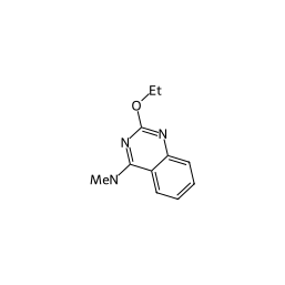 CCOc1nc(NC)c2ccccc2n1